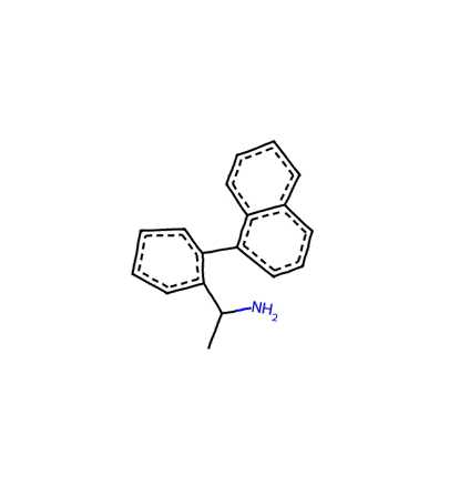 CC(N)c1ccccc1-c1cccc2ccccc12